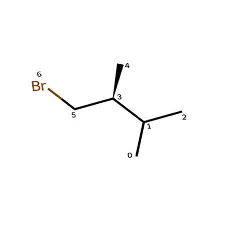 CC(C)[C@H](C)CBr